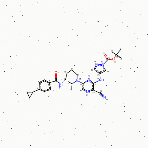 C[C@@H]1[C@H](NC(=O)c2ccc(C3CC3)cc2)CCCN1c1cnc(C#N)c(Nc2cnn(C(=O)OC(C)(C)C)c2)n1